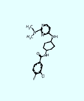 CN(C)c1nccc(NC2CCC(NC(=O)c3ccc(F)c(Cl)c3)CC2)n1